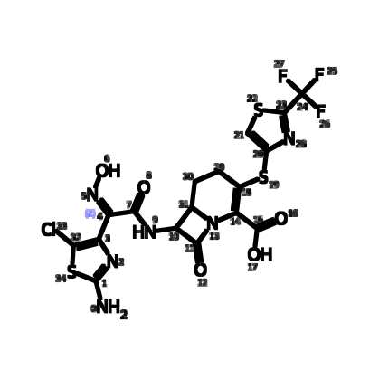 Nc1nc(/C(=N/O)C(=O)NC2C(=O)N3C(C(=O)O)=C(Sc4csc(C(F)(F)F)n4)CCC23)c(Cl)s1